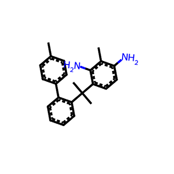 Cc1ccc(-c2ccccc2C(C)(C)c2ccc(N)c(C)c2N)cc1